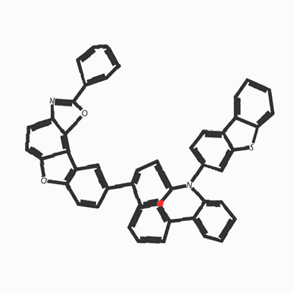 c1ccc(-c2nc3ccc4oc5ccc(-c6ccc(N(c7ccc8c(c7)sc7ccccc78)c7ccccc7-c7ccccc7)cc6)cc5c4c3o2)cc1